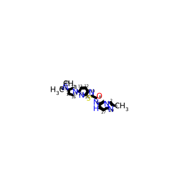 Cc1cn2cc(NC(=O)c3nc4ccc(N5CCC(N(C)C)C5)nc4s3)ccc2n1